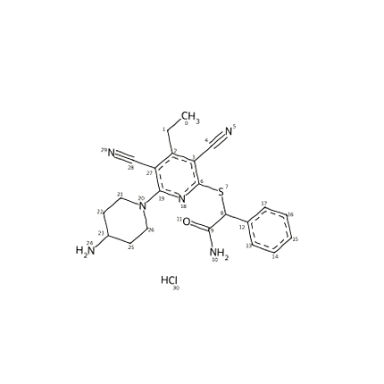 CCc1c(C#N)c(SC(C(N)=O)c2ccccc2)nc(N2CCC(N)CC2)c1C#N.Cl